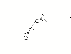 CN1C=CCC(C(=O)NCCOC(=O)CCCc2ccc(N(CCCl)CCCl)cc2)=C1